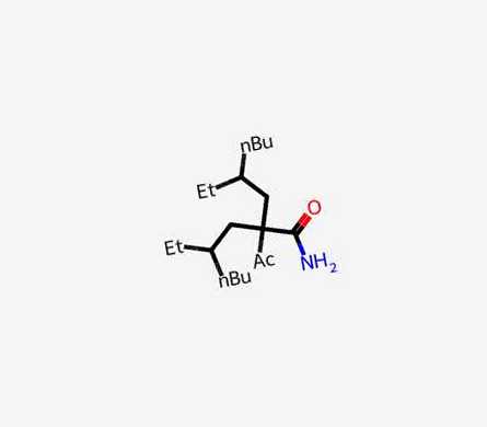 CCCCC(CC)CC(CC(CC)CCCC)(C(C)=O)C(N)=O